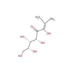 CC(C)=C(O)C(=O)[C@H](O)[C@@H](O)[C@H](O)CO